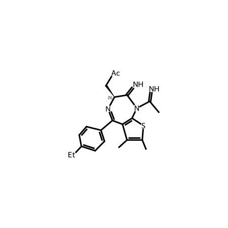 CCc1ccc(C2=N[C@@H](CC(C)=O)C(=N)N(C(C)=N)c3sc(C)c(C)c32)cc1